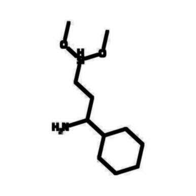 CO[SiH](CCC(N)C1CCCCC1)OC